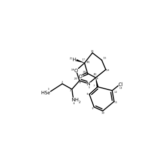 NC(C[SeH])C1=N[C@@]2(c3ccccc3Cl)CCC[C@@H](O1)C2=O